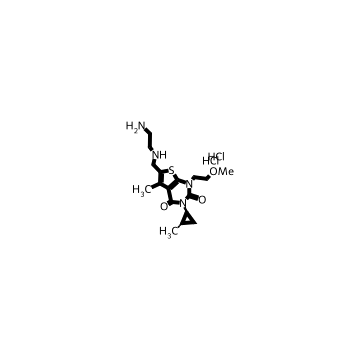 COCCn1c(=O)n([C@H]2C[C@@H]2C)c(=O)c2c(C)c(CNCCN)sc21.Cl.Cl